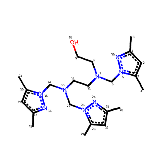 Cc1cc(C)n(CN(CCO)CCN(Cn2nc(C)cc2C)Cn2nc(C)cc2C)n1